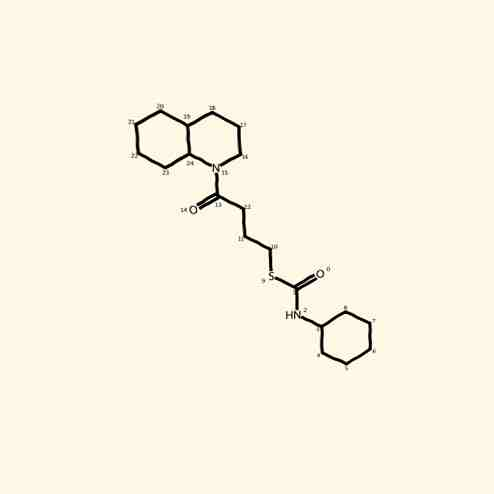 O=C(NC1CCCCC1)SCCCC(=O)N1CCCC2CCCCC21